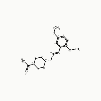 COc1ccc(OC)c(C=NC[C@H]2CC[C@H](C(=O)O)CC2)c1